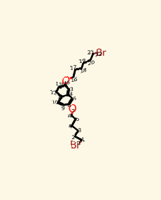 BrCCCCCCOc1ccc2ccc(OCCCCCCBr)cc2c1